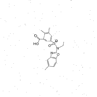 CCN(c1nc2cc(C)ccc2o1)S(=O)(=O)c1cc(C)c(C)c(C(=O)O)c1